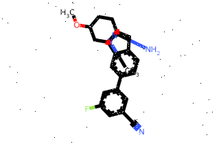 COC1CCC23Cc4ccc(-c5cc(F)cc(C#N)c5)cc4C2(C1)CN(C)C(N)=N3